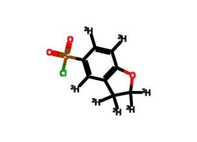 [2H]c1c([2H])c(S(=O)(=O)Cl)c([2H])c2c1OC([2H])([2H])C2([2H])[2H]